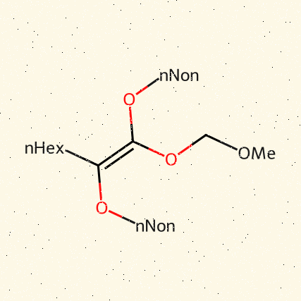 CCCCCCCCCOC(CCCCCC)=C(OCCCCCCCCC)OCOC